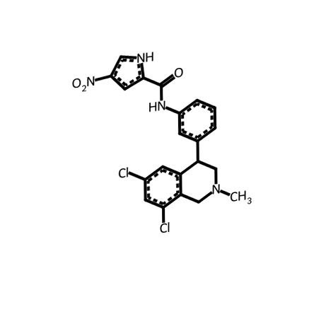 CN1Cc2c(Cl)cc(Cl)cc2C(c2cccc(NC(=O)c3cc([N+](=O)[O-])c[nH]3)c2)C1